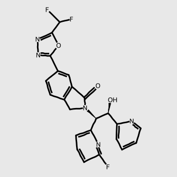 O=C1c2cc(-c3nnc(C(F)F)o3)ccc2CN1[C@H](c1cccc(F)n1)[C@@H](O)c1ccccn1